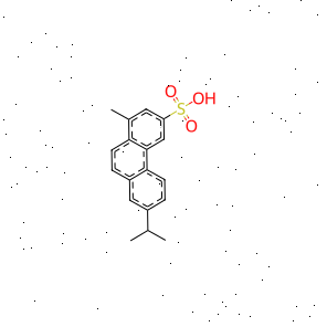 Cc1cc(S(=O)(=O)O)cc2c1ccc1cc(C(C)C)ccc12